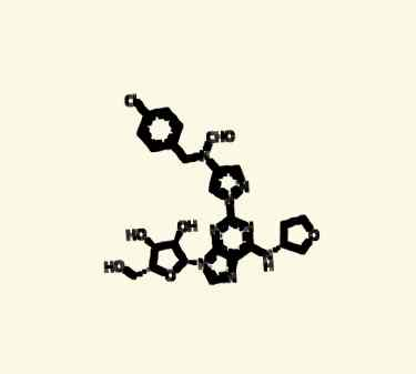 O=CN(Cc1ccc(Cl)cc1)c1cnn(-c2nc(N[C@@H]3CCOC3)c3ncn([C@@H]4O[C@H](CO)[C@@H](O)[C@H]4O)c3n2)c1